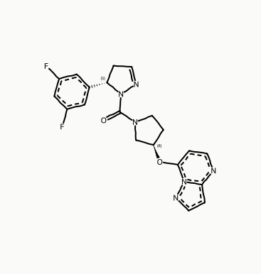 O=C(N1CC[C@@H](Oc2ccnc3ccnn23)C1)N1N=CC[C@H]1c1cc(F)cc(F)c1